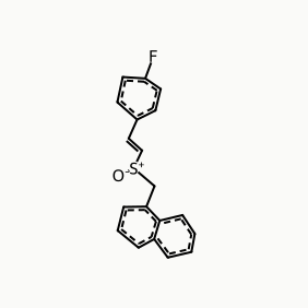 [O-][S+](C=Cc1ccc(F)cc1)Cc1cccc2ccccc12